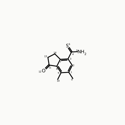 Cc1cc(C(N)=S)c2c(c1C)C(=O)CC2